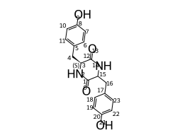 O=C1N[C@@H](Cc2ccc(O)cc2)C(=O)NC1Cc1ccc(O)cc1